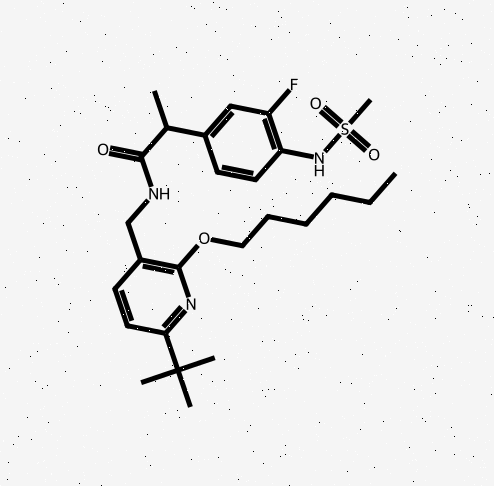 CCCCCCOc1nc(C(C)(C)C)ccc1CNC(=O)C(C)c1ccc(NS(C)(=O)=O)c(F)c1